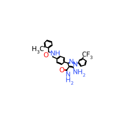 Cc1ccccc1C(=O)NCc1ccc(-c2nn(-c3cccc(C(F)(F)F)c3)c(N)c2C(N)=O)cc1